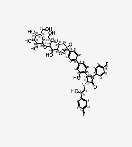 O=C1[C@H](CC[C@H](O)c2ccc(F)cc2)[C@@H](c2ccc(-c3ccc(S(=O)(=O)C[C@@H]4O[C@H](CO)C(O[C@@H]5O[C@H](CO)[C@@H](O)[C@H](O)[C@H]5O)[C@H](O)[C@H]4O)cc3)cc2O)N1c1ccc(F)cc1